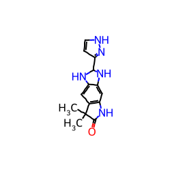 CC1(C)C(=O)Nc2cc3c(cc21)NC(c1cc[nH]n1)N3